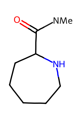 CNC(=O)C1CCCCCN1